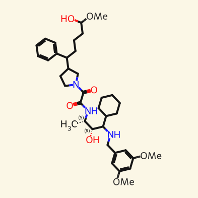 COc1cc(CNC(C2CCCCC2)[C@H](O)[C@H](C)NC(=O)C(=O)N2CCC(C(CCCC(O)OC)c3ccccc3)C2)cc(OC)c1